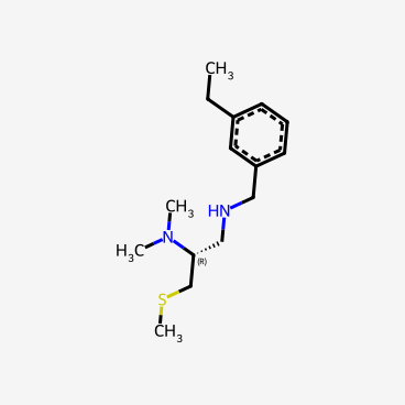 CCc1cccc(CNC[C@H](CSC)N(C)C)c1